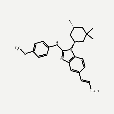 C[C@H]1C[C@H](n2c(Nc3ccc(SC(F)(F)F)cc3)nc3cc(/C=C/C(=O)O)ccc32)CC(C)(C)C1